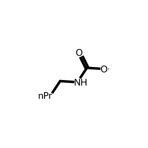 CCCCNC([O])=O